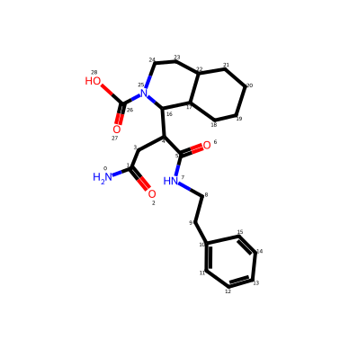 NC(=O)CC(C(=O)NCCc1ccccc1)C1C2CCCCC2CCN1C(=O)O